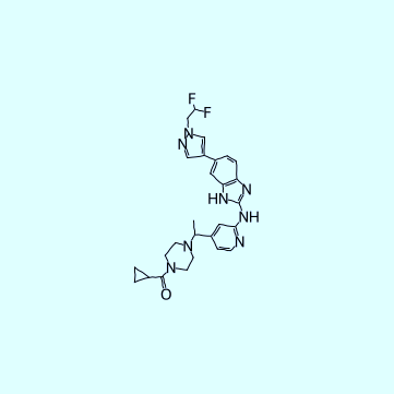 CC(c1ccnc(Nc2nc3ccc(-c4cnn(CC(F)F)c4)cc3[nH]2)c1)N1CCN(C(=O)C2CC2)CC1